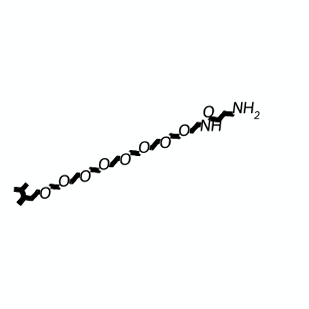 C=C(CCOCCOCCOCCOCCOCCOCCOCCOCCNC(=O)CCCN)C(C)C